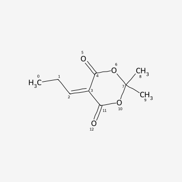 CCC=C1C(=O)OC(C)(C)OC1=O